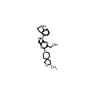 C[C@H]1CC2(CCN(c3nc4cnn(-c5cccc6c5CCN6)c4nc3CO)CC2)CO1